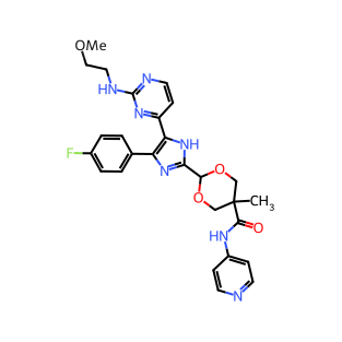 COCCNc1nccc(-c2[nH]c(C3OCC(C)(C(=O)Nc4ccncc4)CO3)nc2-c2ccc(F)cc2)n1